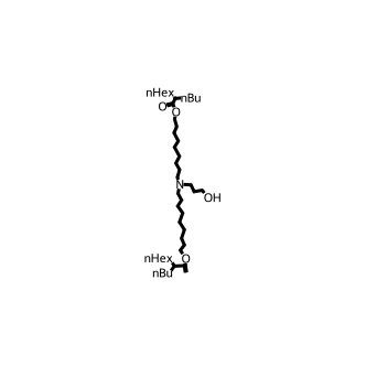 C=C(OCCCCCCCCCN(CCCO)CCCCCCCCCOC(=O)C(CCCC)CCCCCC)C(CCCC)CCCCCC